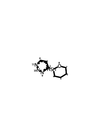 c1cc([SiH]2CCCCO2)nnn1